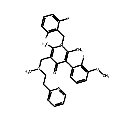 COc1cccc(-c2c(C)n(Cc3c(F)cccc3F)c(C)c(CN(C)CCc3ccccn3)c2=O)c1F